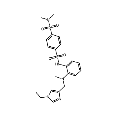 CCn1cnc(CN(C)c2ccccc2NS(=O)(=O)c2ccc(S(=O)(=O)N(C)C)cc2)c1